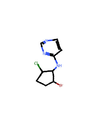 ClC1CCC(Br)C1Nc1ccncn1